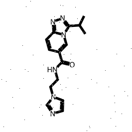 CC(C)c1nnc2ccc(C(=O)NCCn3ccnc3)cn12